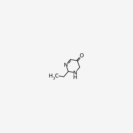 CCC1N=CC(=O)CN1